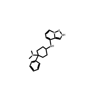 CN(C)C1(c2ccccc2)CCC(NC2=CC=CN3SNC=C23)CC1